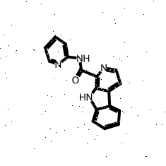 O=C(Nc1ccccn1)c1nccc2c1[nH]c1ccccc12